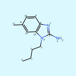 CCCCn1c(N)nc2ccc(C)cc21